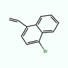 C=Cc1ccc(Br)c2ccccc12